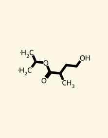 [CH2]C([CH2])OC(=O)C(C)CCO